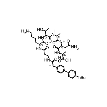 CCCCc1ccc(-c2ccc(NC(=O)NCCC(=O)N[C@@H](CCCCN)C(=O)N[C@H](C(=O)N[C@@H](C)C(=O)N[C@@H](CC(N)=O)C(=O)N[C@@H](C)B(O)O)C(C)O)cc2)cc1